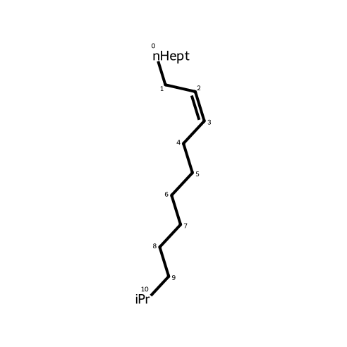 CCCCCCCC/C=C\CCCCCCC(C)C